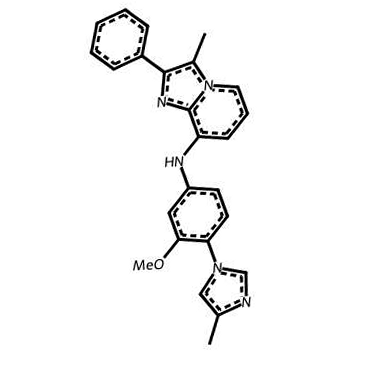 COc1cc(Nc2cccn3c(C)c(-c4ccccc4)nc23)ccc1-n1cnc(C)c1